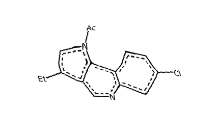 CCc1cn(C(C)=O)c2c1cnc1cc(Cl)ccc12